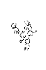 Cc1nccn1Cc1ccc(-c2cc(CC(C)C)sc2S(=O)(=O)NC(=O)NCc2cccs2)cc1F